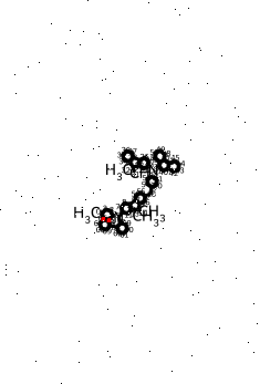 Cc1ccc(N(c2ccc3c(c2)C(C)(C)c2cc(Cc4ccc(N(c5ccc6c(c5)C(C)(C)c5ccccc5-6)c5cc6ccccc6c6ccccc56)cc4)ccc2-3)c2ccccc2-c2ccccc2)cc1